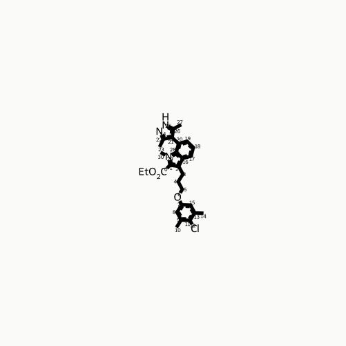 CCOC(=O)c1c(CCCOc2cc(C)c(Cl)c(C)c2)c2cccc(-c3c(C)n[nH]c3C)c2n1C